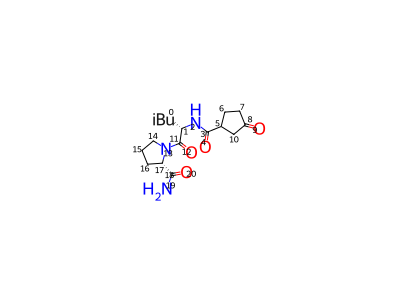 CCC(C)[C@H](NC(=O)C1CCC(=O)C1)C(=O)N1CCC[C@H]1C(N)=O